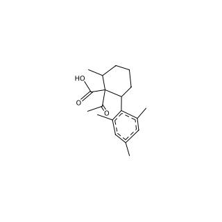 CC(=O)C1(C(=O)O)C(C)CCCC1c1c(C)cc(C)cc1C